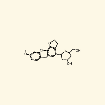 COc1ccc(Cc2cc(C3CC(O)CC(CO)O3)c3c(c2Cl)OCC3)cc1